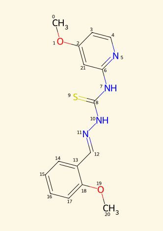 COc1ccnc(NC(=S)N/N=C/c2ccccc2OC)c1